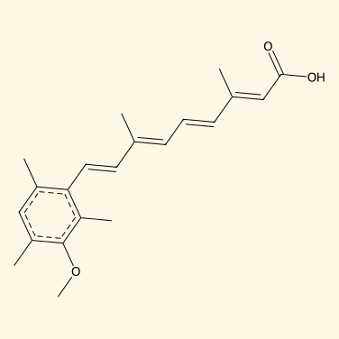 COc1c(C)cc(C)c(/C=C/C(C)=C/C=C/C(C)=C/C(=O)O)c1C